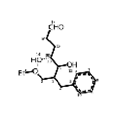 CCOCC(Cc1ccccc1)C(O)[C@H](O)CCC=O